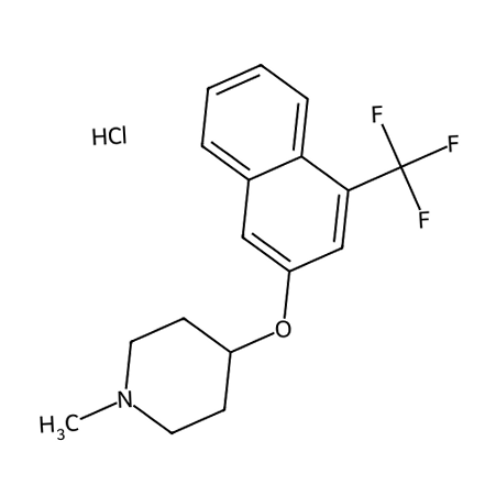 CN1CCC(Oc2cc(C(F)(F)F)c3ccccc3c2)CC1.Cl